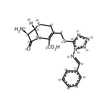 N[C@@H]1C(=O)N2C(C(=O)O)=C(CSc3nnnn3N=Cc3ccccc3)CS[C@@H]12